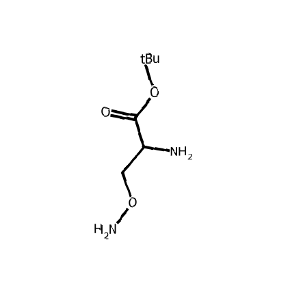 CC(C)(C)OC(=O)C(N)CON